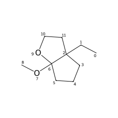 CCC12CCCC1(OC)OCC2